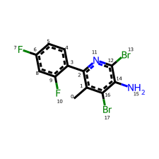 Cc1c(-c2ccc(F)cc2F)nc(Br)c(N)c1Br